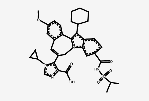 COc1ccc2c(c1)C=C(c1c(C(=O)O)ncn1C1CC1)Cn1c-2c(C2CCCCC2)c2ccc(C(=O)NS(=O)(=O)C(C)C)cc21